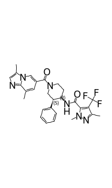 Cc1nn(C)c(C(=O)N[C@@H]2CCN(C(=O)c3cc(C)c4ncc(C)n4c3)C[C@@H]2c2ccccc2)c1C(F)(F)F